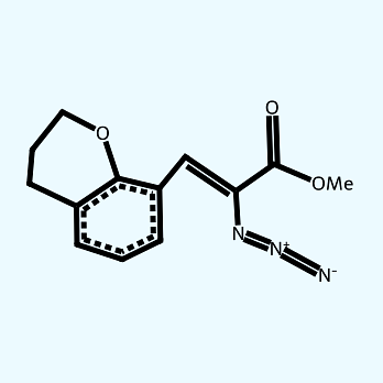 COC(=O)/C(=C/c1cccc2c1OCCC2)N=[N+]=[N-]